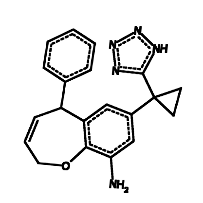 Nc1cc(C2(c3nnn[nH]3)CC2)cc2c1OCC=CC2c1ccccc1